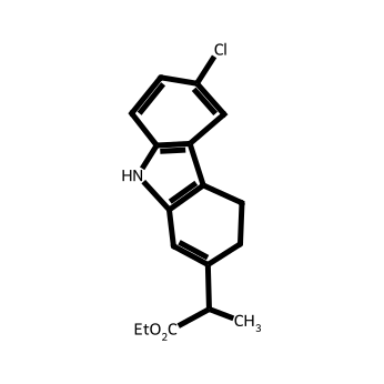 CCOC(=O)C(C)C1=Cc2[nH]c3ccc(Cl)cc3c2CC1